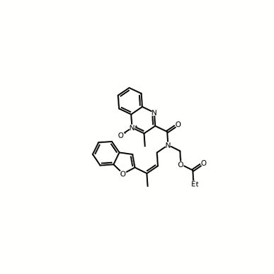 CCC(=O)OCN(CC=C(C)c1cc2ccccc2o1)C(=O)c1nc2ccccc2[n+]([O-])c1C